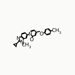 Cc1ccc(OCc2ccn(-c3ccc4nc(C5CC5)n(C)c4c3)c(=O)c2)cc1